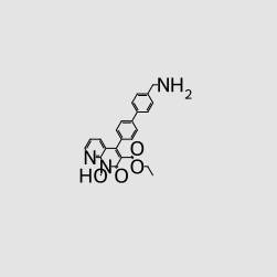 CCOC(=O)c1c(-c2ccc(-c3ccc(CN)cc3)cc2)c2cccnc2n(O)c1=O